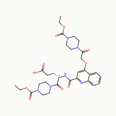 CCOC(=O)N1CCN(C(=O)COc2cc(C(=O)N[C@@H](CCC(=O)O)C(=O)N3CCN(C(=O)OCC)CC3)nc3ccccc23)CC1